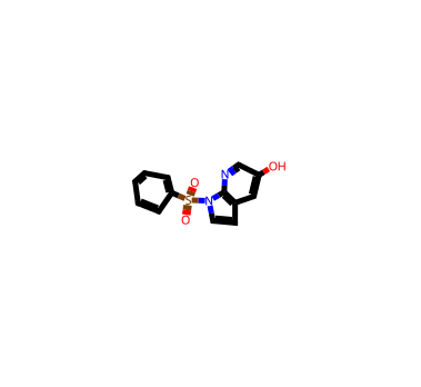 O=S(=O)(c1ccccc1)n1ccc2cc(O)cnc21